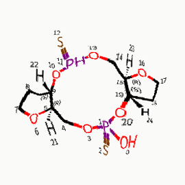 OP1(=S)OC[C@H]2OCC[C@@H]2O[PH](=S)OC[C@H]2OCC[C@@H]2O1